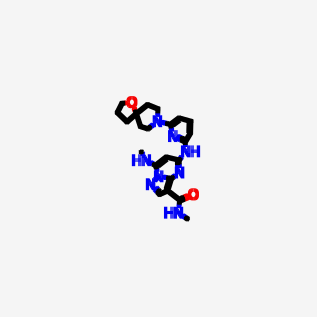 CNC(=O)c1cnn2c(NC)cc(Nc3cccc(N4CCC5(CCCO5)CC4)n3)nc12